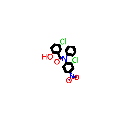 O=C(c1cc(Cl)ccc1O)N(c1ccccc1)c1ccc([N+](=O)[O-])cc1Cl